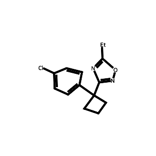 CCc1nc(C2(c3ccc(Cl)cc3)CCC2)no1